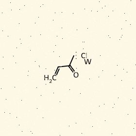 [C].[C]C(=O)C=C.[W]